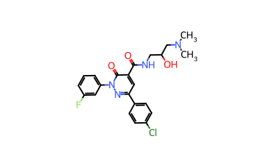 CN(C)CC(O)CNC(=O)c1cc(-c2ccc(Cl)cc2)nn(-c2cccc(F)c2)c1=O